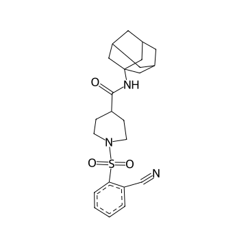 N#Cc1ccccc1S(=O)(=O)N1CCC(C(=O)NC23CC4CC(CC(C4)C2)C3)CC1